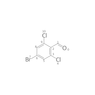 O=Cc1c(Cl)cc(Br)cc1Cl